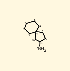 BC1CCC2(CCCCC2)C1